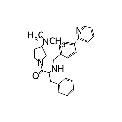 CN(C)C1CCN(C(=O)C(Cc2ccccc2)NCc2ccc(-c3ccccn3)cc2)C1